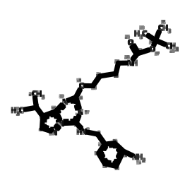 CC(C)c1cnn2c(NCc3cccc(N)c3)nc(OCCCCNC(=O)OC(C)(C)C)nc12